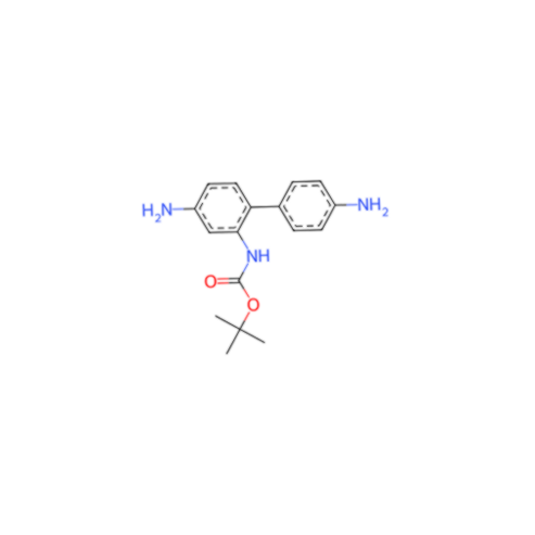 CC(C)(C)OC(=O)Nc1cc(N)ccc1-c1ccc(N)cc1